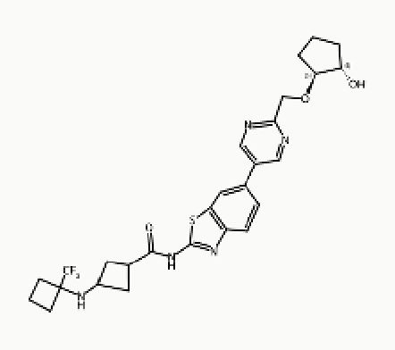 O=C(Nc1nc2ccc(-c3cnc(CO[C@H]4CCC[C@@H]4O)nc3)cc2s1)C1CC(NC2(C(F)(F)F)CCC2)C1